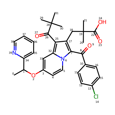 CC(Oc1ccn2c(C(=O)c3ccc(Cl)cc3)c(CC(C)(C)C(=O)O)c(C(=O)C(C)(C)C)c2c1)c1ccccn1